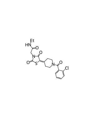 CCNC(=O)CN1C(=O)SC(=C2CCN(C(=O)c3ccccc3Cl)CC2)C1=O